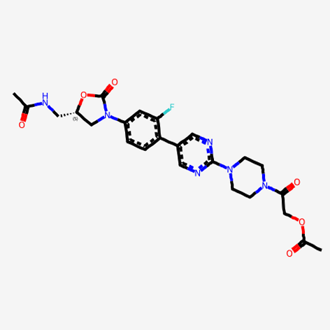 CC(=O)NC[C@H]1CN(c2ccc(-c3cnc(N4CCN(C(=O)COC(C)=O)CC4)nc3)c(F)c2)C(=O)O1